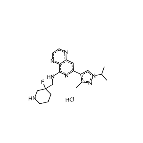 Cc1nn(C(C)C)cc1-c1cc2nccnc2c(NCC2(F)CCCNC2)n1.Cl